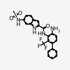 CS(=O)(=O)Nc1ccc2cc(C(=O)Nc3c(N)ccc(-c4ccccc4)c3C(F)(F)F)[nH]c2c1